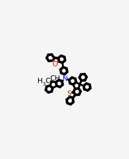 CC1(C)c2ccccc2-c2ccc(N(c3ccc(-c4cccc5c4oc4ccccc45)cc3)c3ccc4c(c3)-c3c(ccc5c3sc3ccccc35)C4(c3ccccc3)c3ccccc3)cc21